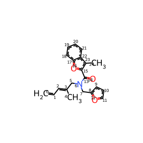 C=C/C=C(\C)CN(Cc1ccco1)C(=O)c1oc2ccccc2c1C